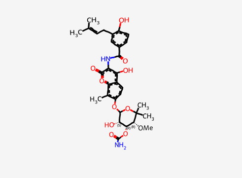 CO[C@@H]1[C@H](OC(N)=O)[C@H](O)C(Oc2ccc3c(O)c(NC(=O)c4ccc(O)c(CC=C(C)C)c4)c(=O)oc3c2C)OC1(C)C